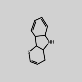 C1=CC2NC3CC=CSC3C2C=C1